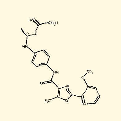 C[C@@H](CC(=N)C(=O)O)Nc1ccc(NC(=O)c2nc(-c3ccccc3OC(F)(F)F)oc2C(F)(F)F)cc1